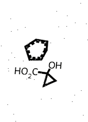 O=C(O)C1(O)CC1.c1ccccc1